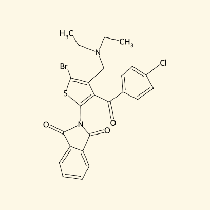 CCN(CC)Cc1c(Br)sc(N2C(=O)c3ccccc3C2=O)c1C(=O)c1ccc(Cl)cc1